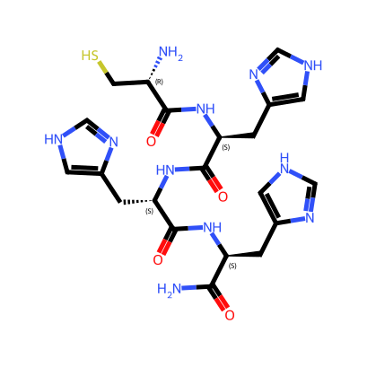 NC(=O)[C@H](Cc1c[nH]cn1)NC(=O)[C@H](Cc1c[nH]cn1)NC(=O)[C@H](Cc1c[nH]cn1)NC(=O)[C@@H](N)CS